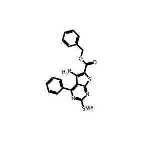 CSc1nc(-c2ccccc2)c2c(N)c(C(=O)OCc3ccccc3)sc2n1